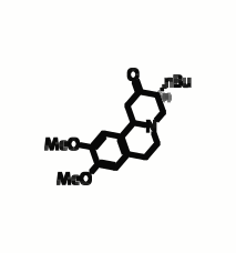 CCCC[C@@H]1CN2CCc3cc(OC)c(OC)cc3C2CC1=O